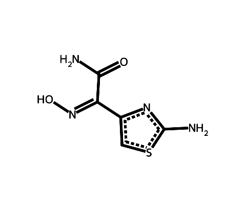 NC(=O)C(=NO)c1csc(N)n1